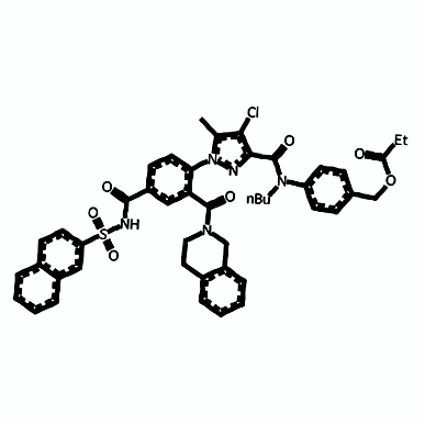 CCCCN(C(=O)c1nn(-c2ccc(C(=O)NS(=O)(=O)c3ccc4ccccc4c3)cc2C(=O)N2CCc3ccccc3C2)c(C)c1Cl)c1ccc(COC(=O)CC)cc1